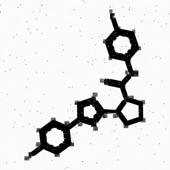 O=C(Nc1ccc(F)cc1)N1CCC[C@H]1c1nc(-c2ccc(F)cc2)cs1